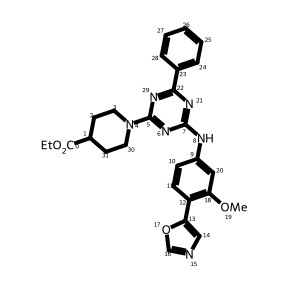 CCOC(=O)C1CCN(c2nc(Nc3ccc(-c4cnco4)c(OC)c3)nc(-c3ccccc3)n2)CC1